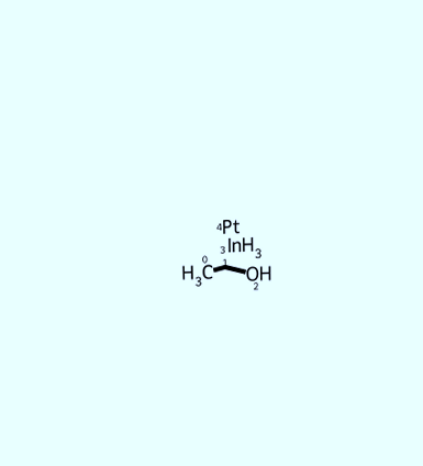 CCO.[InH3].[Pt]